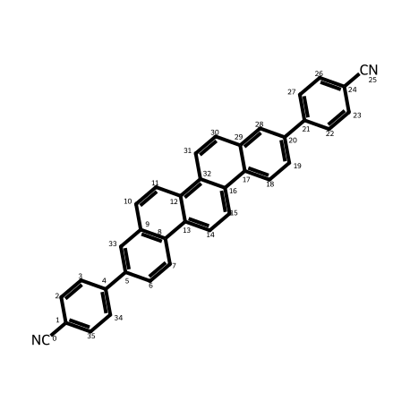 N#Cc1ccc(-c2ccc3c(ccc4c3ccc3c5ccc(-c6ccc(C#N)cc6)cc5ccc34)c2)cc1